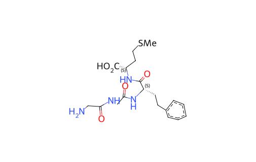 CSCC[C@H](NC(=O)[C@H](CCc1ccccc1)NC(=O)CNC(=O)CN)C(=O)O